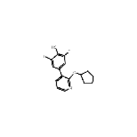 Fc1cc(-c2cccnc2OC2CCCC2)cc(F)c1S